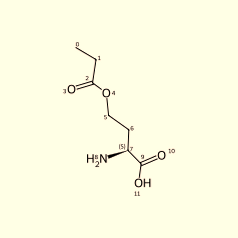 CCC(=O)OCC[C@H](N)C(=O)O